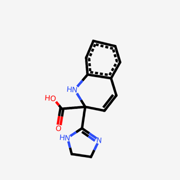 O=C(O)C1(C2=NCCN2)C=Cc2ccccc2N1